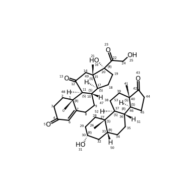 C[C@]12CCC(=O)C=C1CC[C@@H]1[C@@H]2C(=O)C[C@@]2(C)[C@H]1CC[C@]2(O)C(=O)CO.C[C@]12CC[C@@H](O)C[C@H]1CC[C@@H]1[C@@H]2CC[C@]2(C)C(=O)CC[C@@H]12